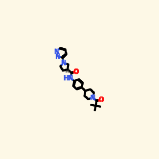 CC(C)(C)C(=O)N1CCC(c2ccc(NC(=O)[C@H]3CCN(c4cccnn4)C3)cc2)CC1